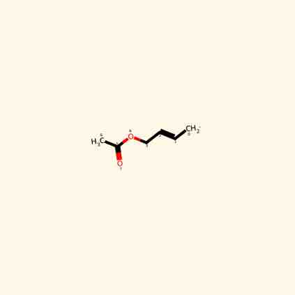 [CH2]/C=C/COC(C)=O